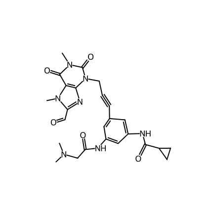 CN(C)CC(=O)Nc1cc(C#CCn2c(=O)n(C)c(=O)c3c2nc(C=O)n3C)cc(NC(=O)C2CC2)c1